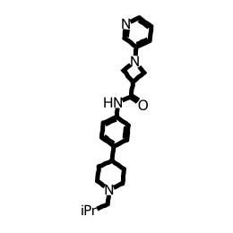 CC(C)CN1CCC(c2ccc(NC(=O)C3CN(c4cccnc4)C3)cc2)CC1